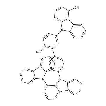 N#Cc1ccc(-n2c3ccccc3c3c(C#N)cccc32)cc1-c1ccc(-n2c3ccccc3c3cccc(-n4c5ccccc5c5ccccc54)c32)cc1